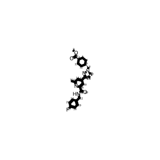 COC(=O)[C@H]1CC[C@H](Cn2nnc(-c3cc(C)nc(C(=O)NCc4ccc(F)cc4)c3)n2)CC1